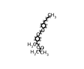 C=C(C)C(=O)OCC(C)C1CCC(OCCOC2CCC(CCCCC)CC2)CC1